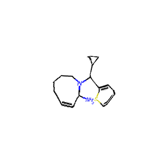 NC1C=CCCCCN1C(c1cccs1)C1CC1